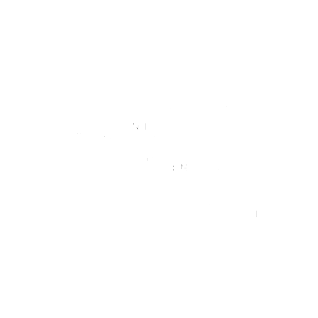 C=C(C)CONC(=O)c1ccc(F)cc1Nc1ccc(I)cc1C